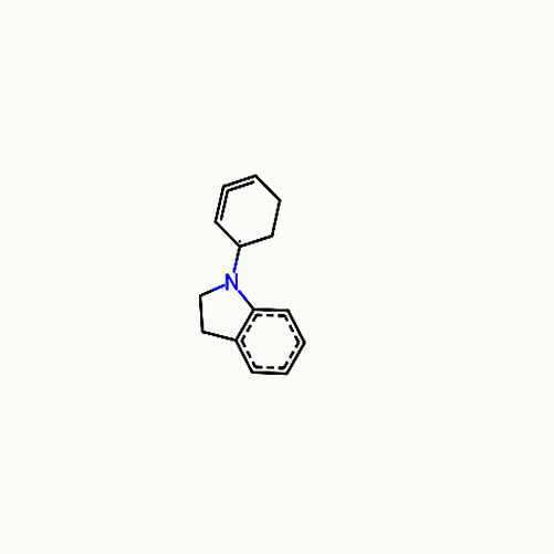 C1=CCC[C](N2CCc3ccccc32)C=1